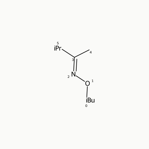 CCC(C)O/N=C(\C)C(C)C